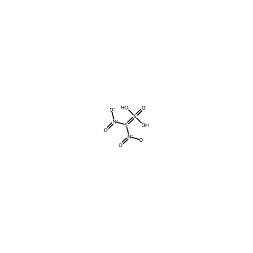 O=[N+]([O-])S([N+](=O)[O-])=S(=O)(O)O